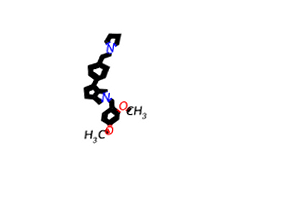 COc1ccc(CN2CC3CC=C(c4ccc(CCN5CCCC5)cc4)C3C2)c(OC)c1